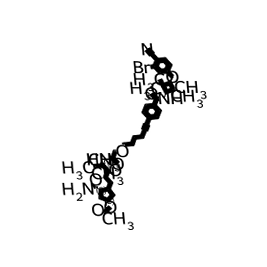 CC(=O)O[C@H]1CC(CCC(=O)[C@@H](NC(=O)COCCCCC#Cc2ccc(C(=O)N[C@H]3C(C)(C)[C@H](Oc4ccc(C#N)c(Br)c4)C3(C)C)cc2)C(C)(C)C)[C@@H](C(N)=O)C1